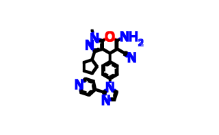 Cn1nc(C2CCCC2)c2c1OC(N)=C(C#N)C2c1ccc(-n2ccnc2-c2ccncc2)cc1